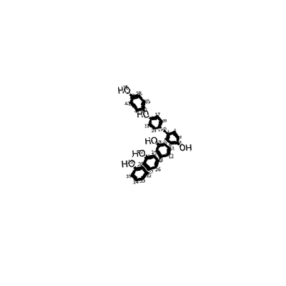 Cc1ccc(O)cc1.Oc1ccccc1.Oc1ccccc1.Oc1ccccc1.Oc1ccccc1.Oc1ccccc1